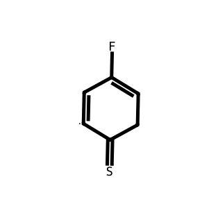 FC1=CCC(=S)[C]=C1